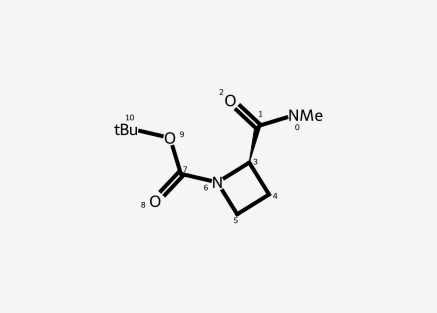 CNC(=O)[C@H]1CCN1C(=O)OC(C)(C)C